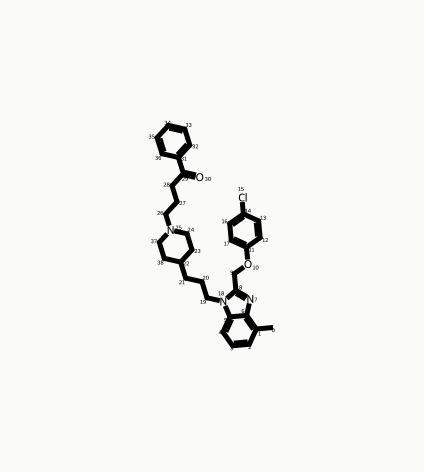 Cc1cccc2c1nc(COc1ccc(Cl)cc1)n2CCCC1CCN(CCCC(=O)c2ccccc2)CC1